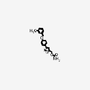 Cc1cccc(COc2ccc(-c3cc(COC(N)=O)on3)cc2)c1